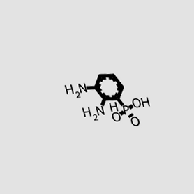 Nc1cccc(P(=O)(O)O)c1N